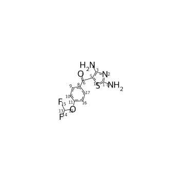 Nc1nc(N)c(C(=O)c2ccc(OC(F)F)cc2)s1